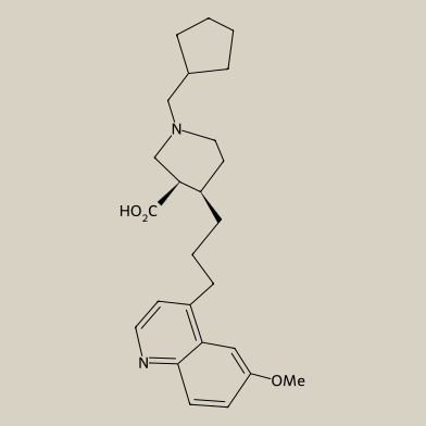 COc1ccc2nccc(CCC[C@@H]3CCN(CC4CCCC4)C[C@@H]3C(=O)O)c2c1